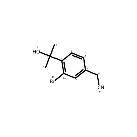 CC(C)(O)c1ccc(CC#N)cc1Br